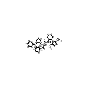 Cc1ccc(C)n1[C@H]1CCCC[C@@H]1NC(=S)N[C@H](C)[C@@H]1CCCC1P(c1ccccc1)c1ccccc1